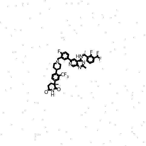 Cc1nc(N[C@H](C)c2cccc(C(F)F)c2F)c2cc(-c3ccc(F)c(CN4CCC(c5ccc([C@@]6(C)CCC(=O)NC6=O)cc5C(F)(F)F)CC4)c3)ncc2n1